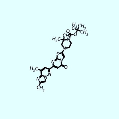 Cc1cn2nc(-c3cc(=O)n4cc(N5CCN(C(=O)OC(C)(C)C)C(C)(C)C5)sc4n3)cc(C)c2n1